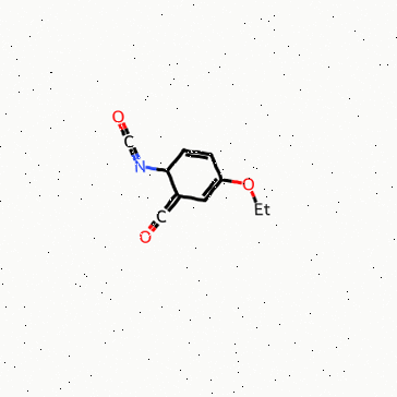 CCOC1=CC(=C=O)C(N=C=O)C=C1